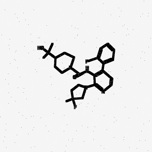 CC1(F)CCN(c2nccc(-c3ccccc3F)c2NC(=O)N2CCC(C(C)(C)O)CC2)C1